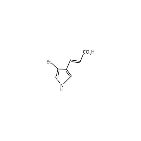 CCc1n[nH]cc1/C=C/C(=O)O